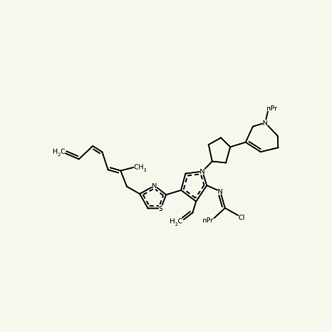 C=C/C=C\C=C(/C)Cc1csc(-c2cn(C3CCC(C4=CCCN(CCC)C4)C3)c(/N=C(/Cl)CCC)c2C=C)n1